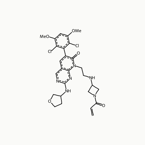 C=CC(=O)N1CC(NCCn2c(=O)c(-c3c(Cl)c(OC)cc(OC)c3Cl)cc3cnc(NC4CCOC4)nc32)C1